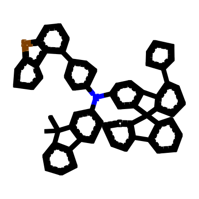 CC1(C)c2ccccc2-c2ccc(N(c3ccc(-c4cccc5sc6ccccc6c45)cc3)c3ccc4c(c3)C3(c5ccccc5-c5ccccc53)c3cccc(-c5ccccc5)c3-4)cc21